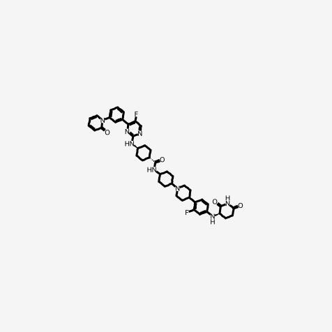 O=C1CC[C@@H](Nc2ccc(C3CCN(C4CCC(NC(=O)[C@H]5CC[C@H](Nc6ncc(F)c(-c7cccc(-n8ccccc8=O)c7)n6)CC5)CC4)CC3)c(F)c2)C(=O)N1